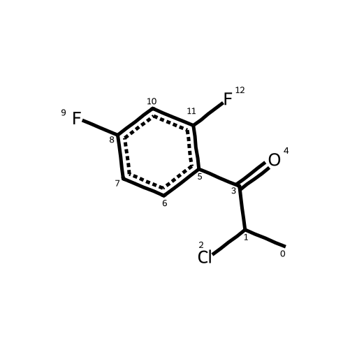 CC(Cl)C(=O)c1ccc(F)cc1F